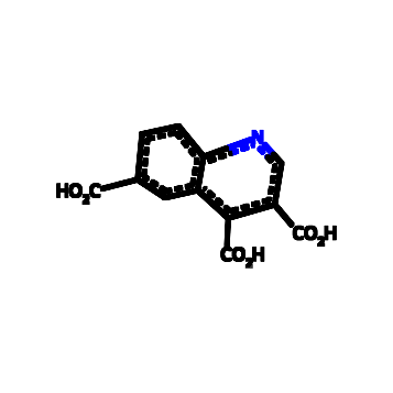 O=C(O)c1ccc2ncc(C(=O)O)c(C(=O)O)c2c1